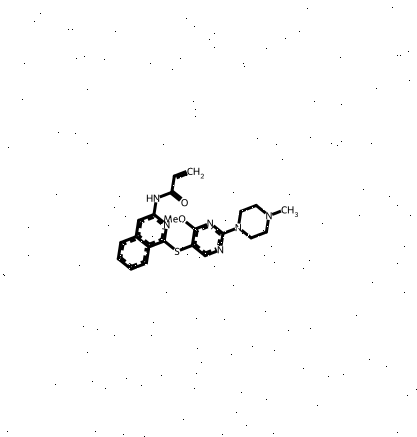 C=CC(=O)Nc1cc2ccccc2c(Sc2cnc(N3CCN(C)CC3)nc2OC)n1